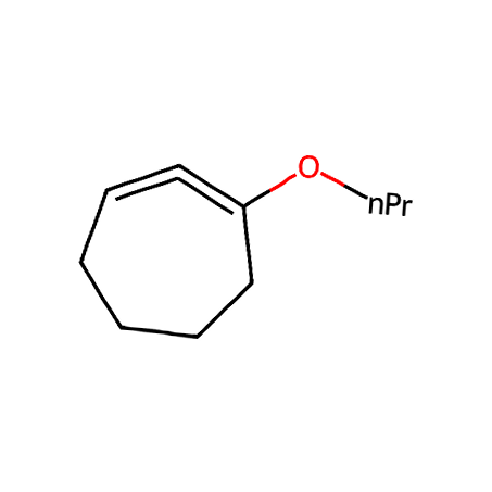 CCCOC1=C=CCCCC1